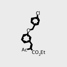 CCOC(=O)C(=Cc1cccc(OCc2ccc(Cl)cc2)c1)C(C)=O